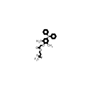 Cc1cc([S+](c2ccccc2)c2ccccc2)cc(C)c1OCC(=O)OCCC(F)(F)C(F)(F)F